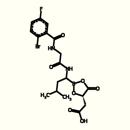 CC(C)CC(NC(=O)CNC(=O)c1cc(F)ccc1Br)B1OC(=O)[C@H](CC(=O)O)O1